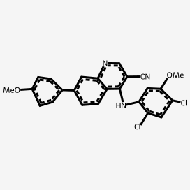 COc1ccc(-c2ccc3c(Nc4cc(OC)c(Cl)cc4Cl)c(C#N)cnc3c2)cc1